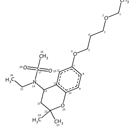 CCOCCCOc1ccc2c(c1)C(N(CC)S(C)(=O)=O)CC(C)(C)O2